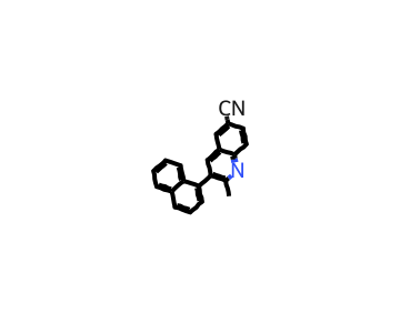 Cc1nc2ccc(C#N)cc2cc1-c1cccc2ccccc12